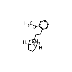 COc1ccccc1CC[C@H]1C[C@H]2CC[C@@H](C1)N2C